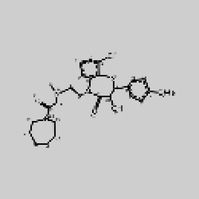 COc1ccc(C2Sc3c(Cl)cccc3N(CCN(C)CC(=O)N3CCCCCC3)C(=O)C2O)cc1